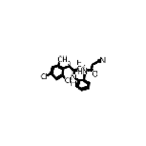 C=C(Cc1c(C)cc(Cl)cc1Cl)Nc1ccccc1NC(=O)CC#N